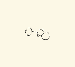 O[C@@H]1CCCC[C@H]1/N=C/c1ccccc1